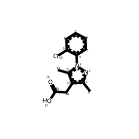 Cc1nn(-c2ccccc2Cl)c(C)c1CC(=O)O